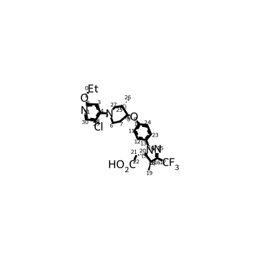 CCOc1cc(N2CC[C@@H](Oc3ccc(N4N=C(C(F)(F)F)[C@@H](C)[C@@H]4CC(=O)O)cc3)[C@@H](C)C2)c(Cl)cn1